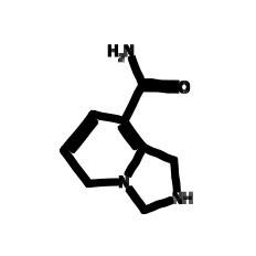 NC(=O)C1=C2CNCN2CC=C1